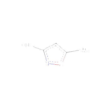 CSc1cc(C=O)no1